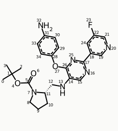 CC(C)(C)OC(=O)N1CCC[C@H]1CNc1cnc(-c2cncc(F)c2)nc1Oc1ccc(N)cc1